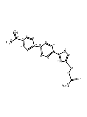 COC(=O)CCc1csc(-c2ccc(-c3ccc(C(=N)N)cc3)cc2)n1